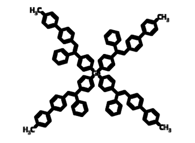 Cc1ccc(-c2ccc(C=C(c3ccccc3)c3cc[c]([Ge]([c]4ccc(C(=Cc5ccc(-c6ccc(C)cc6)cc5)c5ccccc5)cc4)([c]4ccc(C(=Cc5ccc(-c6ccc(C)cc6)cc5)c5ccccc5)cc4)[c]4ccc(C(=Cc5ccc(-c6ccc(C)cc6)cc5)c5ccccc5)cc4)cc3)cc2)cc1